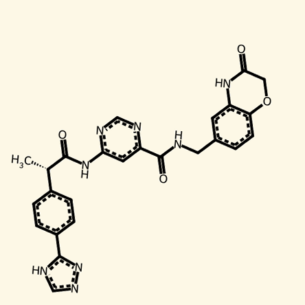 C[C@H](C(=O)Nc1cc(C(=O)NCc2ccc3c(c2)NC(=O)CO3)ncn1)c1ccc(-c2nnc[nH]2)cc1